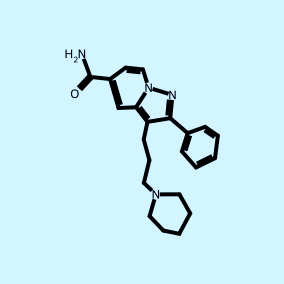 NC(=O)c1ccn2nc(-c3ccccc3)c(CCCN3CCCCC3)c2c1